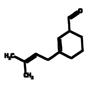 CC(C)=CCC1=CC(C=O)CCC1